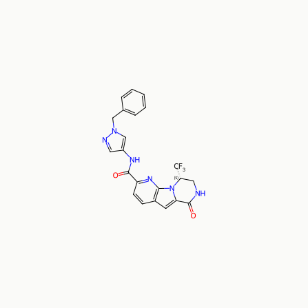 O=C(Nc1cnn(Cc2ccccc2)c1)c1ccc2cc3n(c2n1)[C@H](C(F)(F)F)CNC3=O